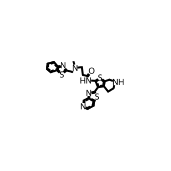 CN(CCC(=O)Nc1sc2c(c1-c1nc3cnccc3s1)CCNC2)Cc1nc2ccccc2s1